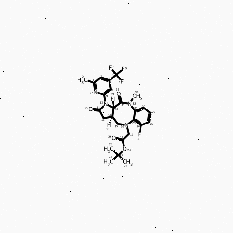 Cc1cc(C(F)(F)F)cc(N2C(=O)C[C@@H]3CN(CC(=O)OC(C)(C)C)c4c(F)cccc4N(C)C(=O)[C@H]32)n1